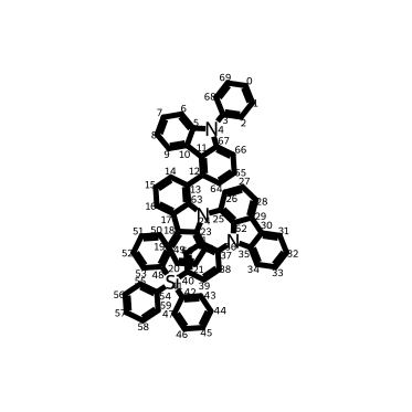 c1ccc(-n2c3ccccc3c3c(-c4cccc5c6ccccc6n(-c6cccc7c8ccccc8n(-c8ccc([Si](c9ccccc9)(c9ccccc9)c9ccccc9)cc8)c67)c45)cccc32)cc1